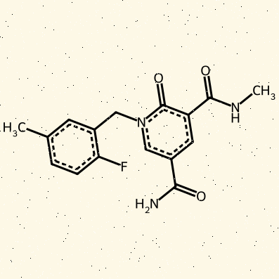 CNC(=O)c1cc(C(N)=O)cn(Cc2cc(C)ccc2F)c1=O